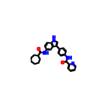 O=C(Nc1ccc(-c2c[nH]c3ccc(NC(=O)C4CCCCCC4)cc23)cc1)c1ccccn1